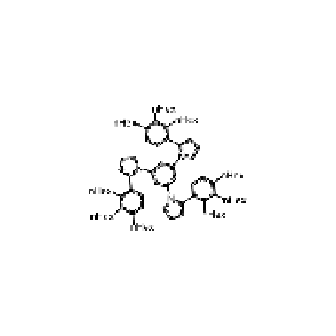 CCCCCCc1ccc(-c2cccn2-c2cc(-n3cccc3-c3ccc(CCCCCC)c(CCCCCC)c3CCCCCC)cc(-n3cccc3-c3ccc(CCCCCC)c(CCCCCC)c3CCCCCC)c2)c(CCCCCC)c1CCCCCC